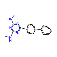 CNc1nc(NC)nc(-c2ccc(-c3ccccc3)cc2)n1